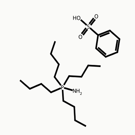 CCCCP(N)(CCCC)(CCCC)CCCC.O=S(=O)(O)c1ccccc1